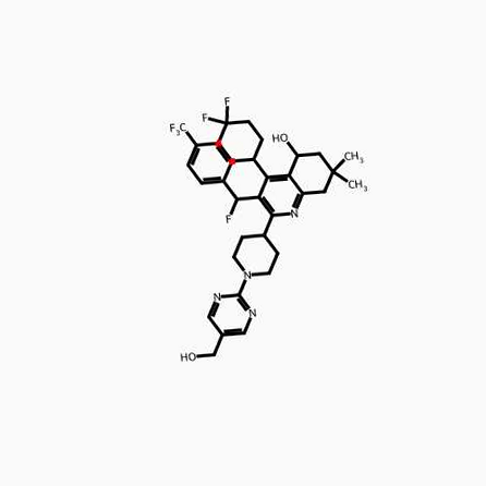 CC1(C)Cc2nc(C3CCN(c4ncc(CO)cn4)CC3)c(C(F)c3ccc(C(F)(F)F)cc3)c(C3CCC(F)(F)CC3)c2C(O)C1